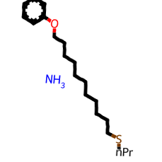 N.[CH2]CCSCCCCCCCCCCCOc1ccccc1